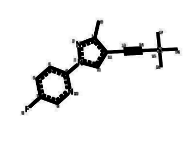 Cc1nn(-c2ccc(F)cn2)cc1C#C[Si](C)(C)C